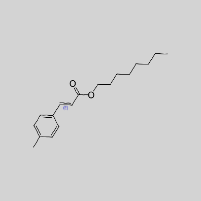 CCCCCCCCOC(=O)/C=C/c1ccc(C)cc1